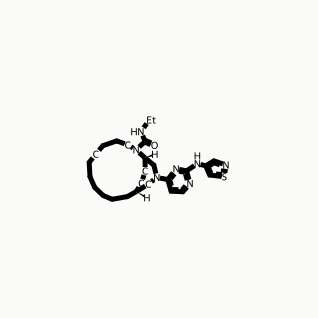 CCNC(=O)N1CCCCCCCCCC[C@H]2CC[C@@H]1CN(c1ccnc(Nc3cnsc3)n1)C2